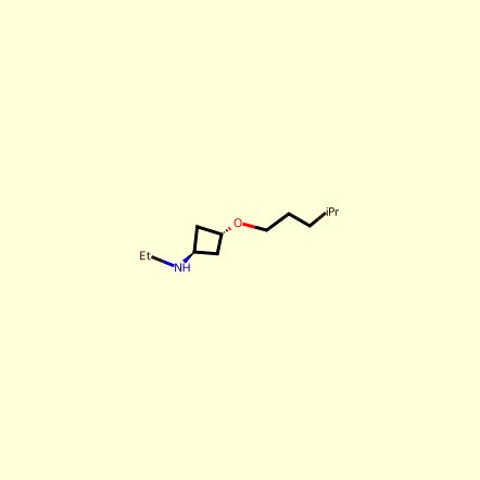 CCN[C@H]1C[C@H](OCCCC(C)C)C1